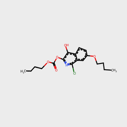 CCCCOC(=O)Oc1nc(Cl)c2cc(OCCCC)ccc2c1O